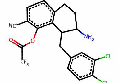 N#Cc1ccc2c(c1OC(=O)C(F)(F)F)C(Cc1ccc(Cl)c(Cl)c1)C(N)CC2